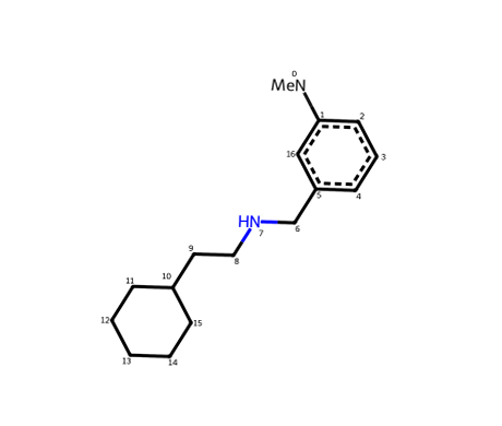 CNc1cccc(CNCCC2CCCCC2)c1